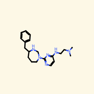 CN(C)CCNc1ccnc(N2CCCC(Cc3ccccc3)NC2)n1